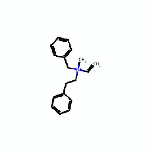 C=C[N+](C)(CCc1ccccc1)Cc1ccccc1